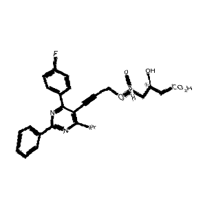 CC(C)c1nc(-c2ccccc2)nc(-c2ccc(F)cc2)c1C#CCO[PH](=O)C[C@@H](O)CC(=O)O